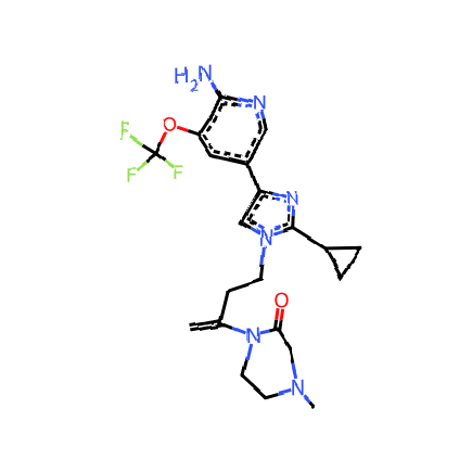 C=C(CCn1cc(-c2cnc(N)c(OC(F)(F)F)c2)nc1C1CC1)N1CCN(C)CC1=O